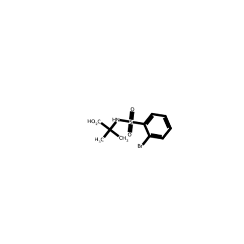 CC(C)(NS(=O)(=O)c1ccccc1Br)C(=O)O